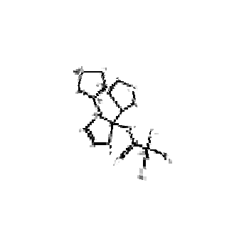 O=C(OC1(C2CCNC2)SC=CN1C1CCNC1)C(F)(F)F